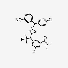 CN(C)C(=O)c1cc(F)cc(C(C2CN(C(c3ccc(Cl)cc3)c3cccc(C#N)c3)C2)C(C)(C)F)c1